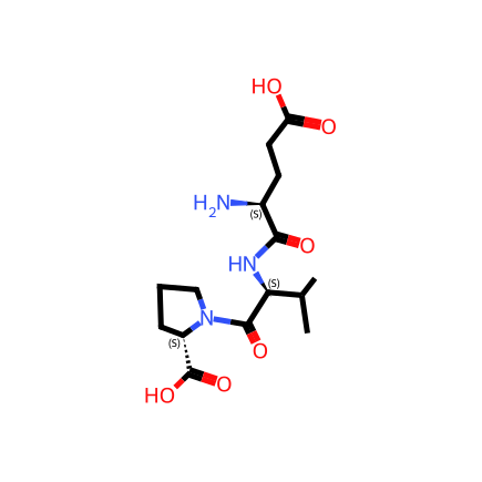 CC(C)[C@H](NC(=O)[C@@H](N)CCC(=O)O)C(=O)N1CCC[C@H]1C(=O)O